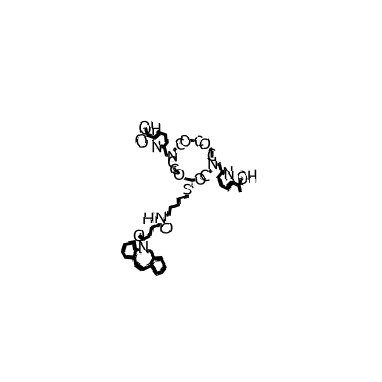 C=C(O)c1cccc(CN2CCOCCOCCN(Cc3cccc(C(=O)O)n3)CCOC[C@@H](CSCCCCCNC(=O)CCC(=O)N3Cc4ccccc4C#Cc4ccccc43)OCC2)n1